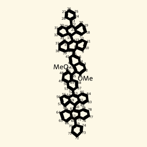 COc1ccc2cc(-c3c4ccccc4c(-c4c5ccccc5c(-c5ccccc5)c5ccccc45)c4ccccc34)ccc2c1-c1c(OC)ccc2cc(-c3c4ccccc4c(-c4c5ccccc5c(-c5ccccc5)c5ccccc45)c4ccccc34)ccc12